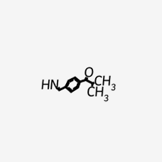 CC(C)C(=O)c1ccc(C=N)cc1